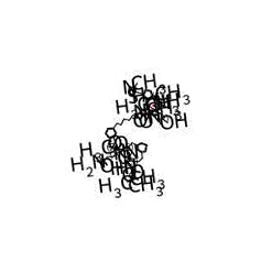 Cc1ncsc1-c1ccc([C@H](C)NC(=O)[C@@H]2C[C@@H](O)CN2C(=O)[C@@H](NC(=O)CCCCCc2cccc(O[C@H](C)[C@H](CCC(N)=O)NC(=O)[C@@H]3Cc4cccc5c4N3C(=O)[C@@H](NC(=O)OC(C)(C)C)CC5)c2)C(C)(C)C)cc1